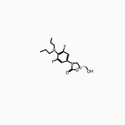 CCCN(CCC)c1c(F)cc(N2C[C@H](CO)OC2=O)cc1F